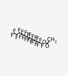 C=CC(=O)OC(F)C(F)(F)C(F)(F)C(F)(F)C(F)(F)C(F)(F)C(F)(F)C(F)(F)C(F)(F)C(F)C(F)C(F)F